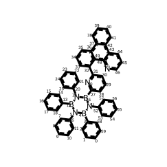 c1ccc(B2N(c3ccccc3)B(c3ccccc3)N(c3ccccc3)B(c3cccc(-c4cccc5c6ccccc6c6cccnc6c45)n3)N2c2ccccc2)cc1